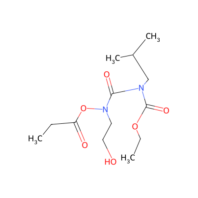 CCOC(=O)N(CC(C)C)C(=O)N(CCO)OC(=O)CC